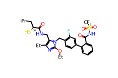 CCOc1nc(CC)c(CNC(=O)[C@@H](S)CC(C)C)n1Cc1ccc(-c2ccccc2C(=O)NS(=O)(=O)C(F)(F)F)cc1F